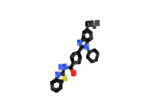 O=C(O)c1ccc2c(c1)nc(-c1ccc(C(=O)Nc3nc4ccccc4s3)cc1)n2C1CCCCC1